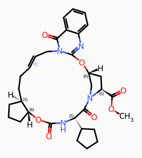 COC(=O)[C@@H]1C[C@@H]2CN1C(=O)[C@H](C1CCCC1)NC(=O)O[C@@H]1CCC[C@H]1CC/C=C/Cn1c(nc3ccccc3c1=O)O2